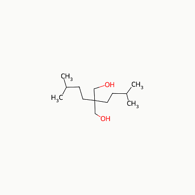 CC(C)CCC(CO)(CO)CCC(C)C